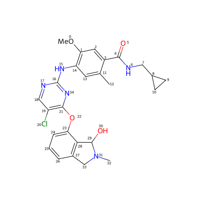 COc1cc(C(=O)NCC2CC2)c(C)cc1Nc1ncc(Cl)c(Oc2cccc3c2C(O)N(C)C3)n1